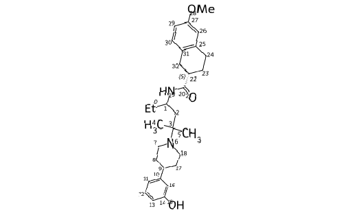 CCC(CC(C)(C)N1CCC(c2cccc(O)c2)CC1)NC(=O)[C@H]1CCc2cc(OC)ccc2C1